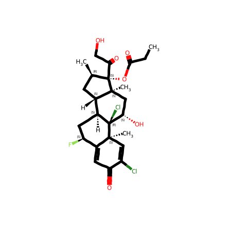 CCC(=O)O[C@@]1(C(=O)CO)[C@H](C)C[C@H]2[C@@H]3C[C@H](F)C4=CC(=O)C(Cl)=C[C@]4(C)[C@@]3(Cl)[C@@H](O)C[C@@]21C